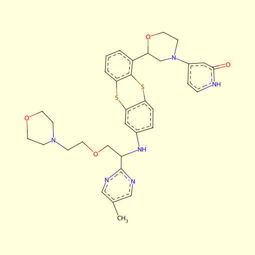 Cc1cnc(C(COCCN2CCOCC2)Nc2ccc3c(c2)Sc2cccc(C4CN(c5cc[nH]c(=O)c5)CCO4)c2S3)nc1